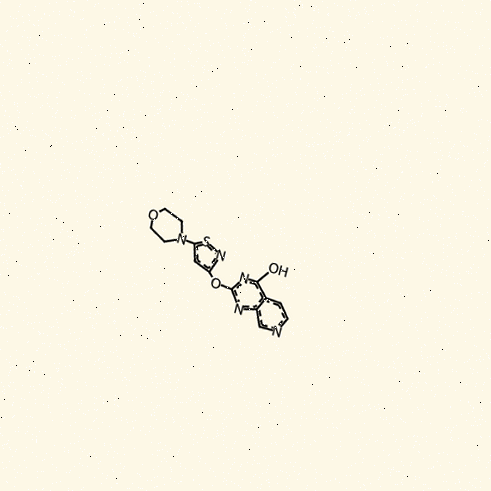 Oc1nc(Oc2cc(N3CCOCC3)sn2)nc2cnccc12